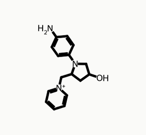 Nc1ccc(N2CC(O)CC2C[n+]2ccccc2)cc1